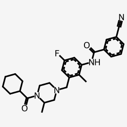 Cc1c(CN2CCN(C(=O)C3CCCCC3)C(C)C2)cc(F)cc1NC(=O)c1cccc(C#N)c1